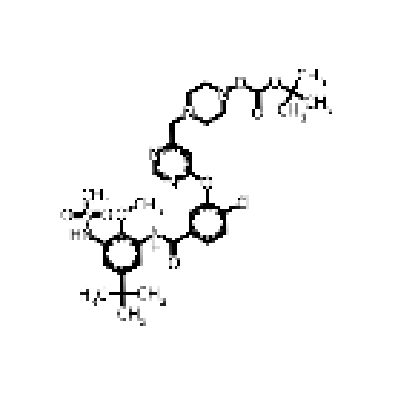 COc1c(NC(=O)c2ccc(Cl)c(Oc3cc(CN4CCN(OC(=O)OC(C)(C)C)CC4)ncn3)c2)cc(C(C)(C)C)cc1NS(C)(=O)=O